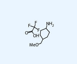 COCC1CCC(N)CC1.O=C(O)C(F)(F)F